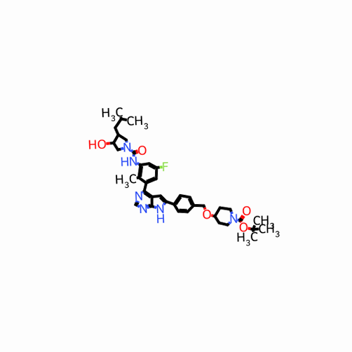 Cc1c(NC(=O)N2CC(O)C(CC(C)C)C2)cc(F)cc1-c1ncnc2[nH]c(-c3ccc(COC4CCN(C(=O)OC(C)(C)C)CC4)cc3)cc12